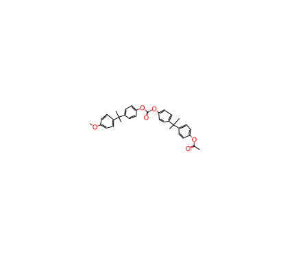 COc1ccc(C(C)(C)c2ccc(OC(=O)Oc3ccc(C(C)(C)c4ccc(OC(C)=O)cc4)cc3)cc2)cc1